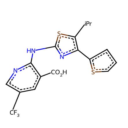 CC(C)c1sc(Nc2ncc(C(F)(F)F)cc2C(=O)O)nc1-c1cccs1